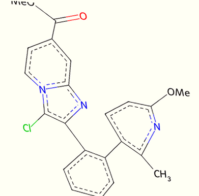 COC(=O)c1ccn2c(Cl)c(-c3ccccc3-c3ccc(OC)nc3C)nc2c1